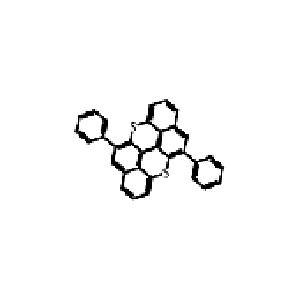 c1ccc(-c2cc3cccc4sc5c(-c6ccccc6)cc6cccc7sc2c(c34)-c5c67)cc1